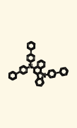 c1ccc(-c2ccc(N(c3ccc(-c4ccccc4)cc3)c3cc4c5ccccc5n(-c5ccc(-c6ccccc6)cc5)c4c4ccccc34)cc2)cc1